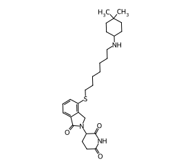 CC1(C)CCC(NCCCCCCCSc2cccc3c2CN(C2CCC(=O)NC2=O)C3=O)CC1